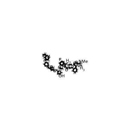 CN[C@@H](C)C(=O)N[C@H](C(=O)N1CCN(C(=O)c2cc3cc(F)ccc3n2CC(=O)N2C[C@@H](O)C[C@H]2COc2cc(CN3CCC(Oc4ccnc5ccsc45)CC3)on2)[C@@H](C)C1)C1CCCCC1